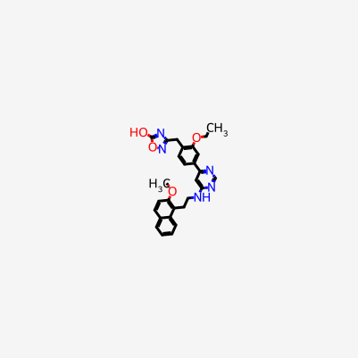 CCOc1cc(-c2cc(NCCc3c(OC)ccc4ccccc34)ncn2)ccc1Cc1noc(O)n1